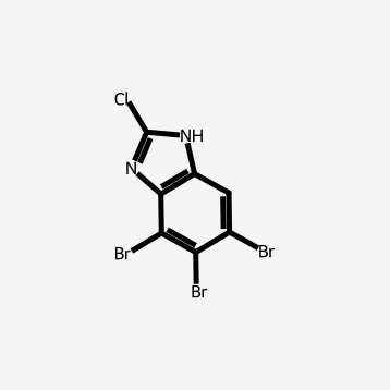 Clc1nc2c(Br)c(Br)c(Br)cc2[nH]1